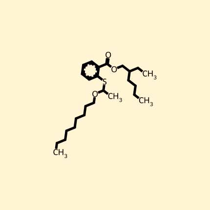 CCCCCCCCCOC(C)Sc1ccccc1C(=O)OCC(CC)CCCC